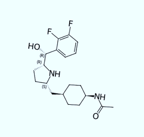 CC(=O)N[C@H]1CC[C@@H](C[C@@H]2CC[C@H]([C@H](O)c3cccc(F)c3F)N2)CC1